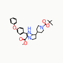 COC(=O)C1=C(c2ccc(Oc3ccccc3)cc2)NC2C(C3CCN(C(=O)OC(C)(C)C)CC3)CCN12